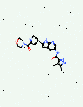 Cc1[nH]nc(C(=O)Nc2cnc3[nH]c(-c4ccnc(C(=O)N5CCOCC5)c4)cc3c2)c1C